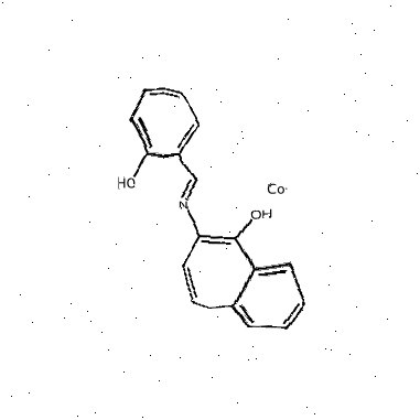 Oc1ccccc1C=Nc1ccc2ccccc2c1O.[Co]